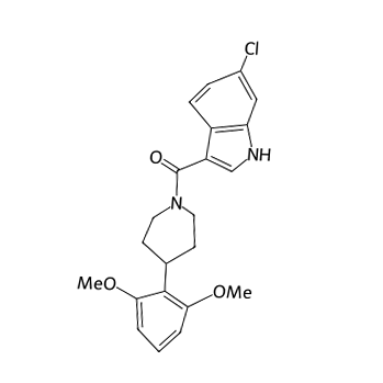 COc1cccc(OC)c1C1CCN(C(=O)c2c[nH]c3cc(Cl)ccc23)CC1